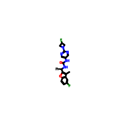 Cc1c(C(NC(=O)Nc2cnc(N3CC(F)C3)nc2)C(C)C)oc2ccc(F)cc12